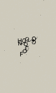 CCOC(=O)CCC(=O)c1cc(Oc2ccc(F)cc2)cc(C#N)c1O